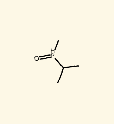 CC(C)[PH](C)=O